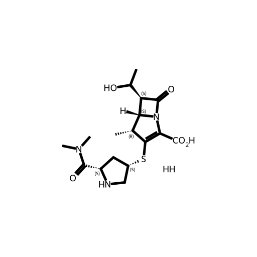 CC(O)[C@H]1C(=O)N2C(C(=O)O)=C(S[C@@H]3CN[C@H](C(=O)N(C)C)C3)[C@H](C)[C@H]12.[HH]